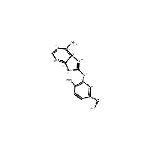 COc1ccc(O)c(Sc2nc3c(N)ncnc3[nH]2)c1